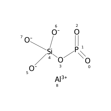 O=P(=O)O[Si]([O-])([O-])[O-].[Al+3]